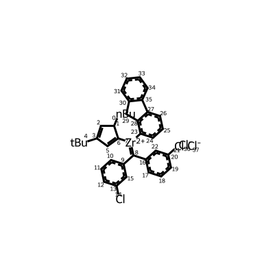 CCCCC1C=C(C(C)(C)C)C=[C]1[Zr+2](=[C](c1cccc(Cl)c1)c1cccc(Cl)c1)[c]1cccc2c1Cc1ccccc1-2.[Cl-].[Cl-]